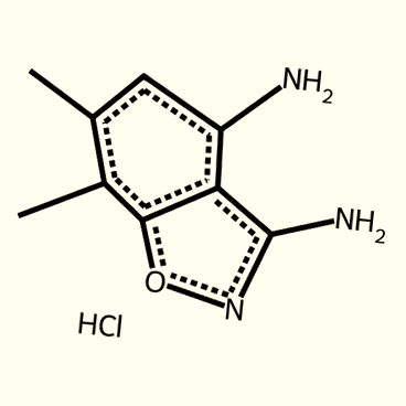 Cc1cc(N)c2c(N)noc2c1C.Cl